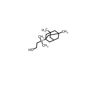 CC12CC3CC(C)(C1)CC([N+](C)(C)CCO)(C3)C2